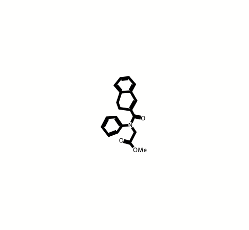 COC(=O)CN(C(=O)C1=Cc2ccccc2CC1)c1ccccc1